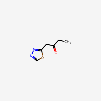 CCC(=O)Cc1nncs1